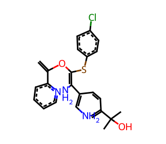 C=C(O/C(Sc1ccc(Cl)cc1)=C(N)/C(/C=C\C(=C)C(C)(C)O)=C/N)c1ccccn1